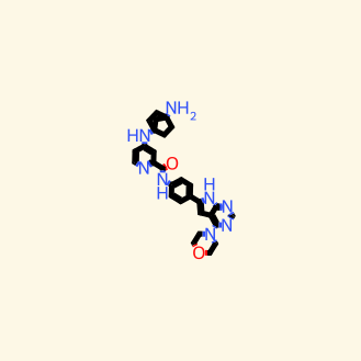 NC12CCC(Nc3ccnc(C(=O)Nc4ccc(-c5cc6c(N7CCOCC7)ncnc6[nH]5)cc4)c3)(CC1)C2